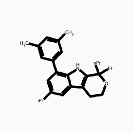 CCCC1(CC)OCCc2c1[nH]c1c(-c3cc(C)cc(C)c3)cc(C(C)C)cc21